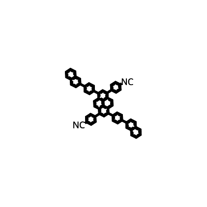 [C-]#[N+]c1ccc(-c2cc(-c3ccc(-c4ccc5ccccc5c4)cc3)c3ccc4c(-c5ccc(C#N)cc5)cc(-c5ccc(-c6ccc7ccccc7c6)cc5)c5ccc2c3c45)cc1